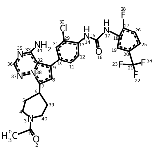 CC(=O)N1CCC(c2cc(-c3ccc(NC(=O)Nc4cc(C(F)(F)F)ccc4F)c(Cl)c3)c3c(N)ncnn23)CC1